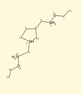 CCO[SiH2]CC1CC[SiH](C[SiH2]OCC)C1